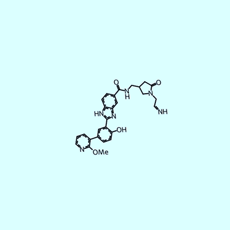 COc1ncccc1-c1ccc(O)c(-c2nc3cc(C(=O)NCC4CC(=O)N(CC=N)C4)ccc3[nH]2)c1